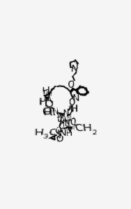 C=C[C@@H]1C[C@]1(NC(=O)[C@@H]1C[C@@H]2CN1C(=O)[C@H](C(C)(C)C)NC(=O)O[C@@H]1C[C@H]1CCCCCc1c(nc3ccccc3c1OCCCN1CCCC1)O2)C(=O)NS(=O)(=O)C1(C)CC1